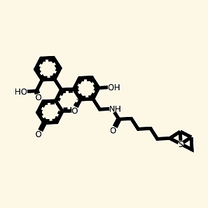 O=C(CCCCC1C2C3CS132)NCc1c(O)ccc2c(-c3ccccc3C(=O)O)c3ccc(=O)cc-3oc12